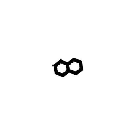 [c]1[c]c2ccccc2cc1